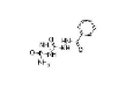 NP(N)(=O)NC(=O)NNC(=O)c1ccccc1